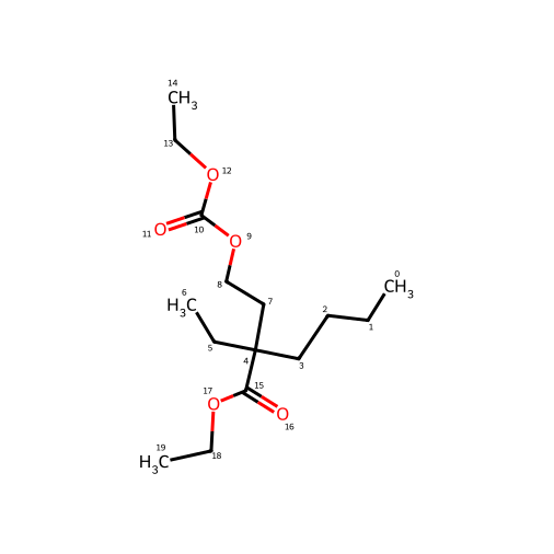 CCCCC(CC)(CCOC(=O)OCC)C(=O)OCC